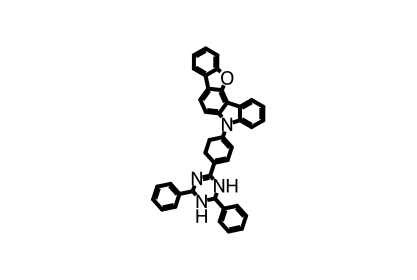 C1=C(C2=NC(c3ccccc3)NC(c3ccccc3)N2)CCC(n2c3ccccc3c3c4oc5ccccc5c4ccc32)=C1